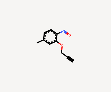 C#CCOc1cc(C)ccc1N=O